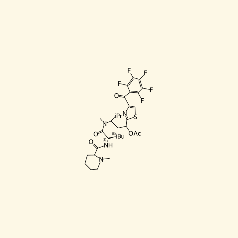 CC[C@H](C)[C@H](NC(=O)C1CCCCN1C)C(=O)N(C)C(CC(OC(C)=O)c1nc(C(=O)c2c(F)c(F)c(F)c(F)c2F)cs1)C(C)C